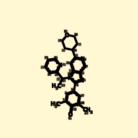 Cc1cc(-c2nc3cnc(C4CCOCC4)cc3n2[C@@H](C)c2ccccn2)cn(C)c1=O